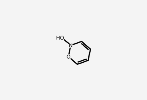 ON1C=CC=CO1